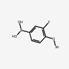 CC(C)Oc1ccc(B(O)O)cc1F